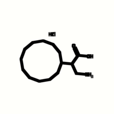 Cl.NCC(C(=O)O)C1CCCCCCCCCCC1